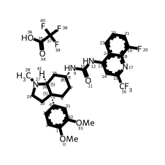 COc1ccc([C@@]23CC[C@@H](NC(=O)Nc4cc(C(F)(F)F)nc5c(F)cccc45)C[C@@H]2N(C)CC3)cc1OC.O=C(O)C(F)(F)F